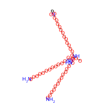 NOCCOCCOCCOCCOCCOCCOCCOCCOCCOCCOCCOCCNC(=O)CCOCC(COCCC=O)(COCCC(=O)NCCOCCOCCOCCOCCOCCOCCOCCOCCOCCOCCOCCON)NC(=O)CCOCCOCCOCCOCCOCCOCCOCCOCCOCCOCCOCCOCCN1OCc2ccccc2C1=O